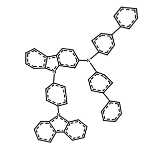 c1ccc(-c2ccc(N(c3ccc(-c4ccccc4)cc3)c3ccc4c5ccccc5n(-c5ccc(-n6c7ccccc7c7ccccc76)cc5)c4c3)cc2)cc1